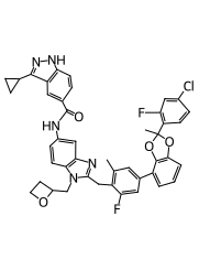 Cc1cc(-c2cccc3c2OC(C)(c2ccc(Cl)cc2F)O3)cc(F)c1Cc1nc2cc(NC(=O)c3ccc4[nH]nc(C5CC5)c4c3)ccc2n1CC1CCO1